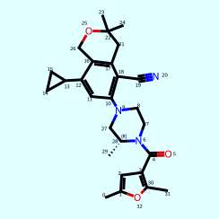 Cc1cc(C(=O)N2CCN(c3cc(C4CC4)c4c(c3C#N)CC(C)(C)OC4)C[C@H]2C)c(C)o1